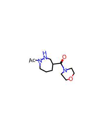 CC(=O)N1CCCC(C(=O)N2CCOCC2)CN1